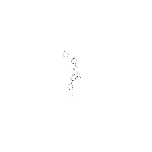 O=C(O)c1nn(C(=O)Nc2cncc(Cc3ccccc3)c2)c2ccc(-c3cncc(CN4CCCCC4)c3)cc12